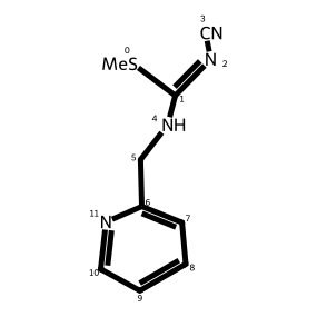 CS/C(=N\C#N)NCc1ccccn1